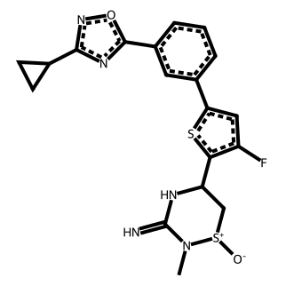 CN1C(=N)NC(c2sc(-c3cccc(-c4nc(C5CC5)no4)c3)cc2F)C[S+]1[O-]